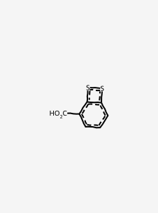 O=C(O)c1cccc2ssc12